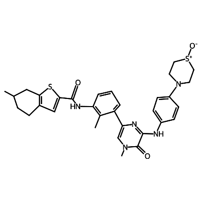 Cc1c(NC(=O)c2cc3c(s2)CC(C)CC3)cccc1-c1cn(C)c(=O)c(Nc2ccc(N3CC[S+]([O-])CC3)cc2)n1